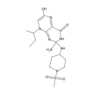 CCC(C)N1C=C(O)N=C2C(=O)NC(N)(NC3CCN(S(C)(=O)=O)CC3)N=C21